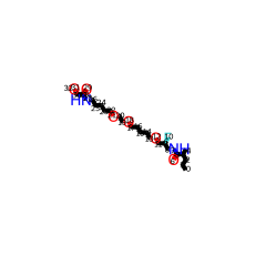 CCCC(C)C(=O)NCC(F)COCCCCCOCCOCCCCCNC(=O)COC